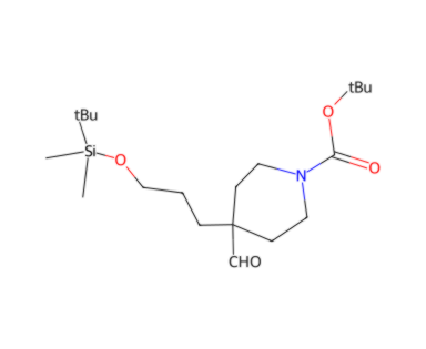 CC(C)(C)OC(=O)N1CCC(C=O)(CCCO[Si](C)(C)C(C)(C)C)CC1